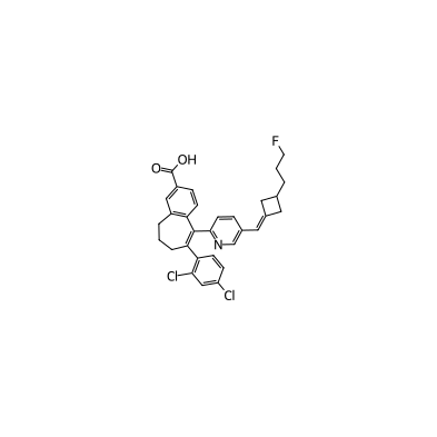 O=C(O)c1ccc2c(c1)CCCC(c1ccc(Cl)cc1Cl)=C2c1ccc(C=C2CC(CCCF)C2)cn1